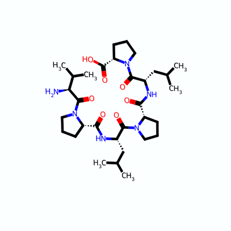 CC(C)C[C@H](NC(=O)[C@@H]1CCCN1C(=O)[C@H](CC(C)C)NC(=O)[C@@H]1CCCN1C(=O)[C@@H](N)C(C)C)C(=O)N1CCC[C@H]1C(=O)O